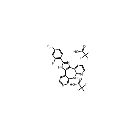 Fc1cc(C(F)(F)F)ccc1-c1nc2c([nH]1)-c1ccncc1Nc1ncccc1-2.O=C(O)C(F)(F)F.O=C(O)C(F)(F)F